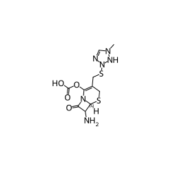 CN1C=NN(SCC2=C(OC(=O)O)N3C(=O)C(N)[C@@H]3SC2)N1